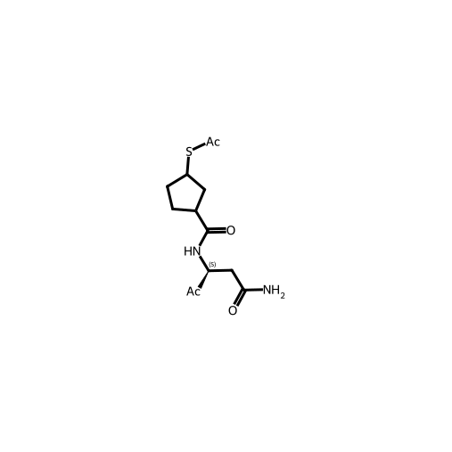 CC(=O)SC1CCC(C(=O)N[C@@H](CC(N)=O)C(C)=O)C1